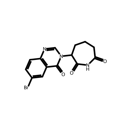 O=C1CCCC(n2cnc3ccc(Br)cc3c2=O)C(=O)N1